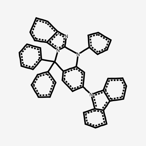 c1ccc(N2c3cc(-n4c5ccccc5c5ccccc54)ccc3C(c3ccccc3)(c3ccccc3)n3c2nc2ccccc23)cc1